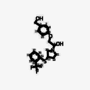 OCc1ccc(OCC(O)N2CCC(Sc3ccccc3C(F)(F)F)C2)cc1